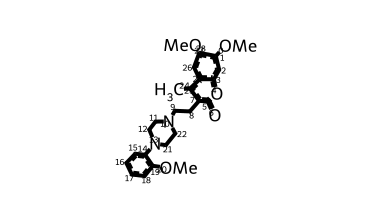 COc1cc2oc(=O)c(CCN3CCN(c4ccccc4OC)CC3)c(C)c2cc1OC